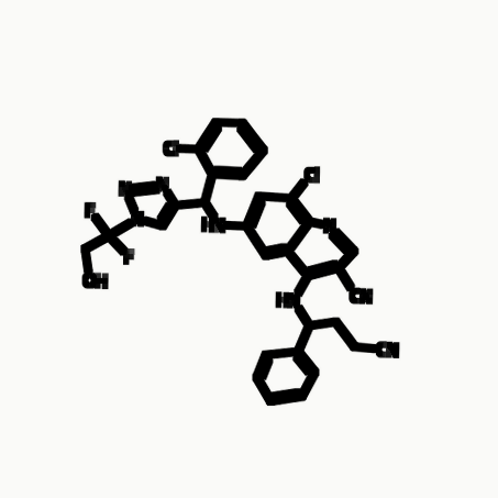 N#CCCC(Nc1c(C#N)cnc2c(Cl)cc(NC(c3cn(C(F)(F)CO)nn3)c3ccccc3Cl)cc12)c1ccccc1